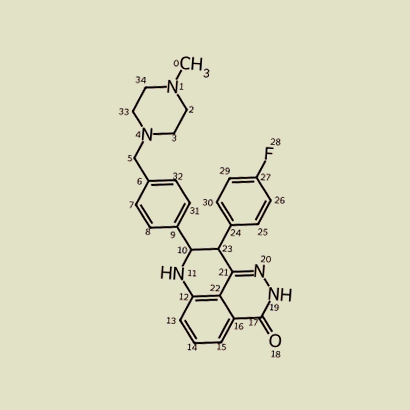 CN1CCN(Cc2ccc(C3Nc4cccc5c(=O)[nH]nc(c45)C3c3ccc(F)cc3)cc2)CC1